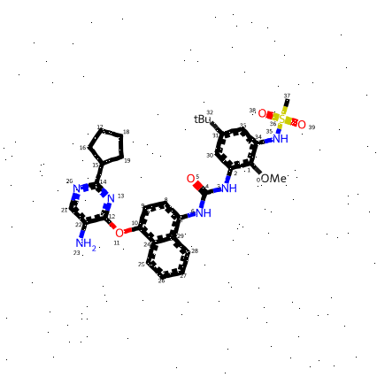 COc1c(NC(=O)Nc2ccc(Oc3nc(C4CCCC4)ncc3N)c3ccccc23)cc(C(C)(C)C)cc1NS(C)(=O)=O